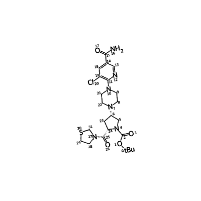 CC(C)(C)OC(=O)N1C[C@@H](N2CCN(c3ncc(C(N)=O)cc3Cl)CC2)C[C@H]1C(=O)N1CCSC1